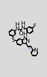 O=C(Nc1cccc(F)c1)Nc1cccc(Sc2ccc3c(/C=C/c4ccccn4)n[nH]c3c2)c1